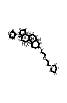 C[C@]12CCC(OCCOCCN3CCCC3)C[C@@H]1CC[C@@H]1[C@@H]2CC[C@]2(C)[C@@H](c3ccoc3)CC[C@@H]12